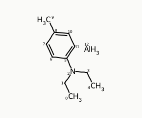 CCN(CC)c1ccc(C)cc1.[AlH3]